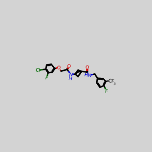 O=C(COc1ccc(Cl)c(F)c1)NC12CC(C(=O)NCc3ccc(F)c(C(F)(F)F)c3)(C1)C2